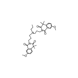 CCCN(CCCN1C(=O)c2cc(OC)ccc2C(C)(C)C1=O)CCCN1C(=O)c2cc(OC)ccc2C(C)(C)C1=O